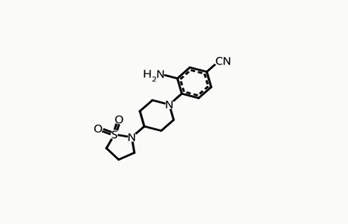 N#Cc1ccc(N2CCC(N3CCCS3(=O)=O)CC2)c(N)c1